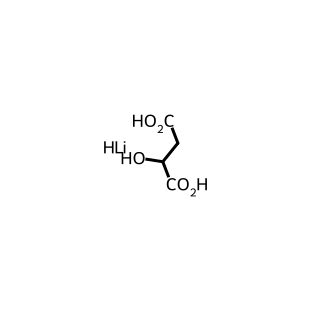 O=C(O)CC(O)C(=O)O.[LiH]